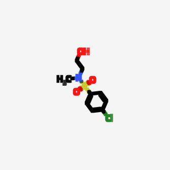 CN(CCO)S(=O)(=O)c1ccc(Cl)cc1